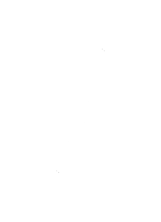 CCc1ccncc1-c1ccc(CC)c(-c2cc(-c3ccccc3)c(-c3cc(-c4cnccc4CC)ccc3CC)cc2-c2ccccc2)c1